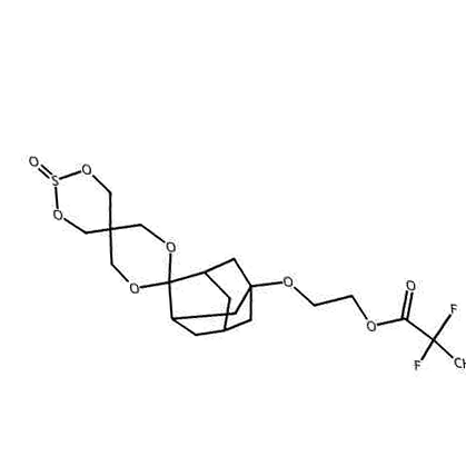 CC(F)(F)C(=O)OCCOC12CC3CC(C1)C1(OCC4(COS(=O)OC4)CO1)C(C3)C2